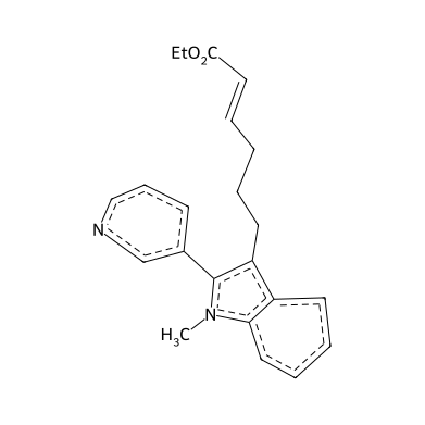 CCOC(=O)C=CCCCc1c(-c2cccnc2)n(C)c2ccccc12